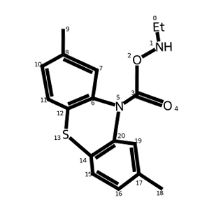 CCNOC(=O)N1c2cc(C)ccc2Sc2ccc(C)cc21